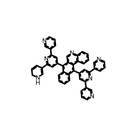 C1=CC(c2cc(-c3c4ccccc4c(-c4cc(-c5cccnc5)nc(-c5cccnc5)c4)c4c3cnc3ccccc34)cc(-c3cccnc3)n2)=CNC1